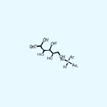 CC(=O)S(C(C)=O)(C(C)=O)C(C)=O.O=CC(O)C(O)C(O)C(O)CO